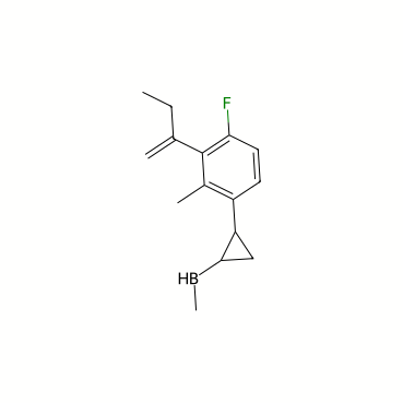 C=C(CC)c1c(F)ccc(C2CC2BC)c1C